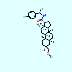 CCOC[C@@]1(O)CC[C@H]2[C@H](CC[C@@H]3[C@@H]2CC[C@]2(C)[C@@H](C(=O)N[C@H](CC)c4ccc(F)cc4)CC[C@@H]32)C1